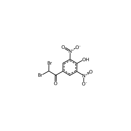 O=C(c1cc([N+](=O)[O-])c(O)c([N+](=O)[O-])c1)C(Br)Br